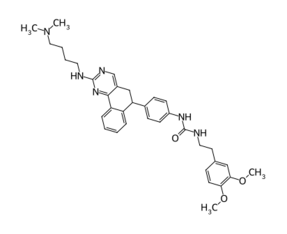 COc1ccc(CCNC(=O)Nc2ccc(C3Cc4cnc(NCCCCN(C)C)nc4-c4ccccc43)cc2)cc1OC